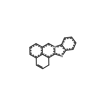 [CH]1C=Cc2cccc3cn4c(nc5ccccc54)c1c23